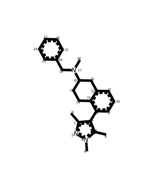 Cc1nn(C)c(C)c1-c1cccc2c1CCC(N(C)Cc1ccccc1)C2